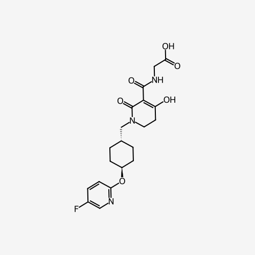 O=C(O)CNC(=O)C1=C(O)CCN(C[C@H]2CC[C@H](Oc3ccc(F)cn3)CC2)C1=O